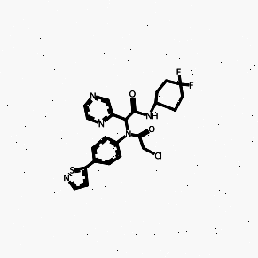 O=C(NC1CCC(F)(F)CC1)C(c1cnccn1)N(C(=O)CCl)c1ccc(-c2ccns2)cc1